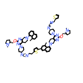 Cc1cccc2cccc(N3CCc4c(nc(OC[C@@H]5CCCN5C)nc4N4CCC(N=C=NCCc5ccc(-c6cc(C)c7c(N8CCc9c(nc(OC[C@@H]%10CCCN%10C)nc9N9CCC(N=C=NCc%10cccs%10)CC9)C8)cccc7c6)s5)CC4)C3)c12